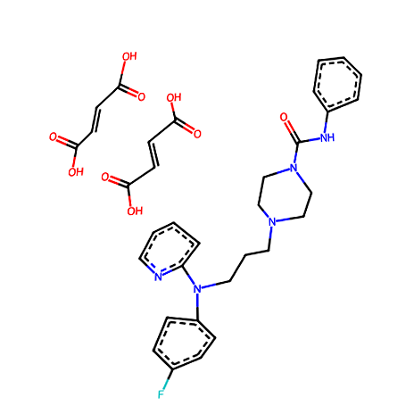 O=C(Nc1ccccc1)N1CCN(CCCN(c2ccc(F)cc2)c2ccccn2)CC1.O=C(O)C=CC(=O)O.O=C(O)C=CC(=O)O